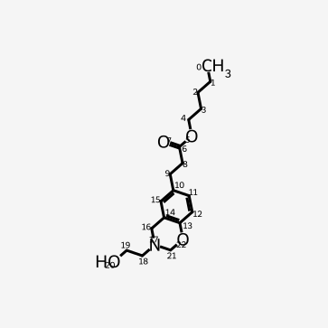 CCCCCOC(=O)CCc1ccc2c(c1)CN(CCO)CO2